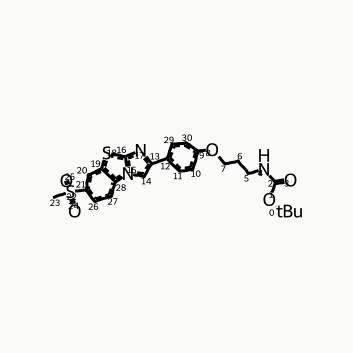 CC(C)(C)OC(=O)NCCCOc1ccc(-c2cn3c(n2)sc2cc(S(C)(=O)=O)ccc23)cc1